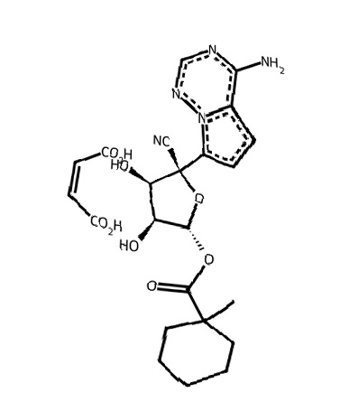 CC1(C(=O)O[C@H]2O[C@@](C#N)(c3ccc4c(N)ncnn34)[C@H](O)[C@@H]2O)CCCCC1.O=C(O)/C=C\C(=O)O